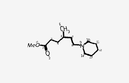 COC(=O)CCC(C)CCN1CCCCC1